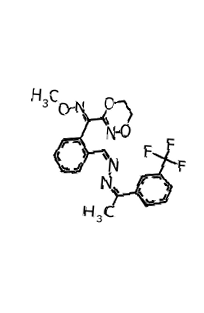 CO/N=C(/C1=NOCCO1)c1ccccc1/C=N\N=C(\C)c1cccc(C(F)(F)F)c1